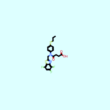 CCCSc1ccc(N(Cc2nc3c(F)c(F)cc(F)c3s2)C(=O)CCC(=O)O)cc1